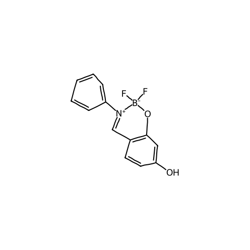 Oc1ccc2c(c1)O[B-](F)(F)[N+](c1ccccc1)=C2